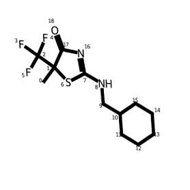 CC1(C(F)(F)F)SC(NCC2CCCCC2)=NC1=O